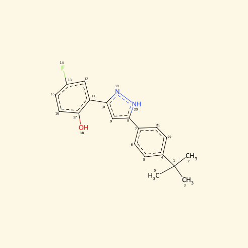 CC(C)(C)c1ccc(-c2cc(-c3cc(F)ccc3O)n[nH]2)cc1